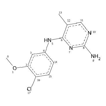 COc1cc(Nc2nc(N)ncc2C)ccc1Cl